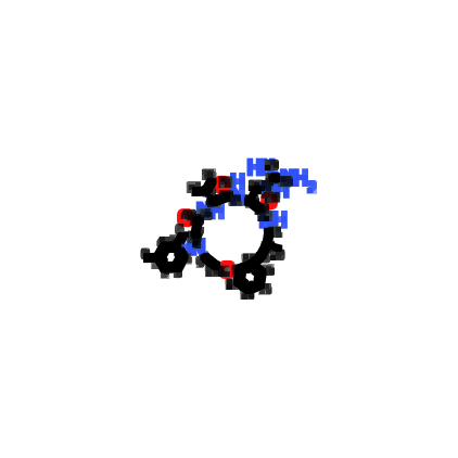 Cc1cccc(C[C@H]2NCCOc3ccccc3C[C@H](C)CNC(=O)[C@H](CNC(=N)N)NC(=O)[C@@H](C(C)C)NC2=O)c1